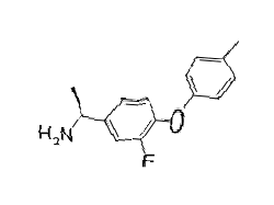 Cc1ccc(Oc2ccc([C@H](C)N)cc2F)cc1